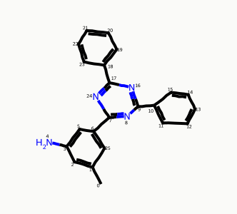 Cc1cc(N)cc(-c2nc(-c3ccccc3)nc(-c3ccccc3)n2)c1